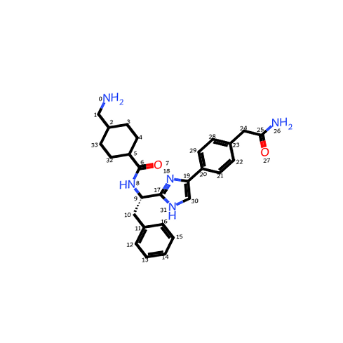 NCC1CCC(C(=O)N[C@@H](Cc2ccccc2)c2nc(-c3ccc(CC(N)=O)cc3)c[nH]2)CC1